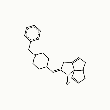 [O-][S+]1C(=CC2CCN(Cc3ccccc3)CC2)CC2=CCN3CC=CC231